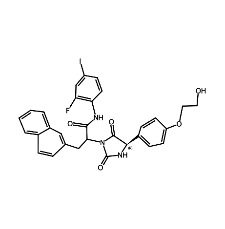 O=C(Nc1ccc(I)cc1F)C(Cc1ccc2ccccc2c1)N1C(=O)N[C@H](c2ccc(OCCO)cc2)C1=O